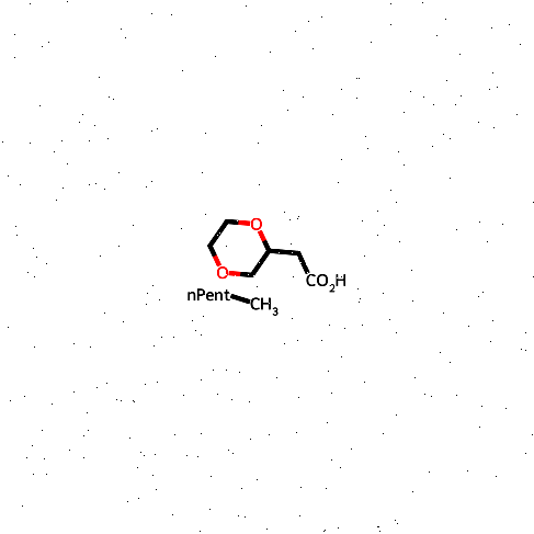 CCCCCC.O=C(O)CC1COCCO1